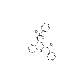 O=C(c1ccccc1)c1cc(=NS(=O)(=O)c2ccccc2)c2ccccc2s1